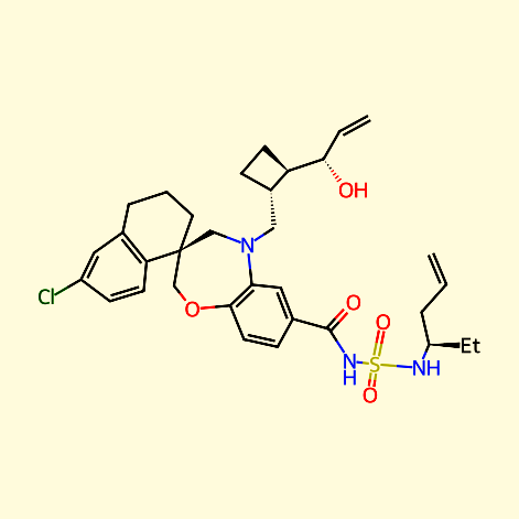 C=CC[C@@H](CC)NS(=O)(=O)NC(=O)c1ccc2c(c1)N(C[C@@H]1CC[C@H]1[C@@H](O)C=C)C[C@@]1(CCCc3cc(Cl)ccc31)CO2